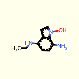 CCNc1ccc(N)c2c1ccn2O